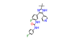 CC(C)(C)c1nc(-c2ccc(F)c(NC(=O)Nc3ccc(F)cc3)c2)c(-c2ccncc2)[nH]1